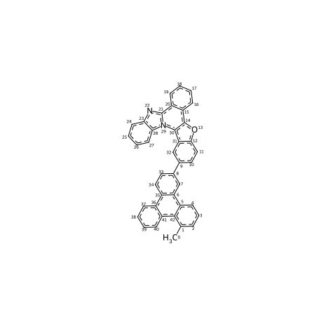 Cc1cccc2c3cc(-c4ccc5oc6c7ccccc7c7nc8ccccc8n7c6c5c4)ccc3c3ccccc3c12